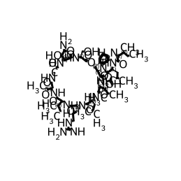 CC[C@@H](C)[C@@H](N)C(=O)N[C@@H](CC(C)C)C(=O)N[C@@H]1C(=O)N[C@@H]([C@H](O)C(C)C)C(=O)N[C@@H](CC(C)C)C(=O)N[C@H](CCCNC(=N)N)C(=O)NC([C@@H](C)CC)C(=O)NC([C@H](C)O)C(=O)NCC(=O)N[C@@H]([C@H](O)C(N)=O)C(=O)N[C@@H](CO)C(=O)O[C@@H]1c1ccccc1